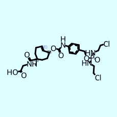 C[C@@]1(C(=O)NCC(=O)O)CC/C=C/[C@H](OC(=O)Nc2ccc(COP(=O)(NCCCl)NCCCl)cc2)CC1